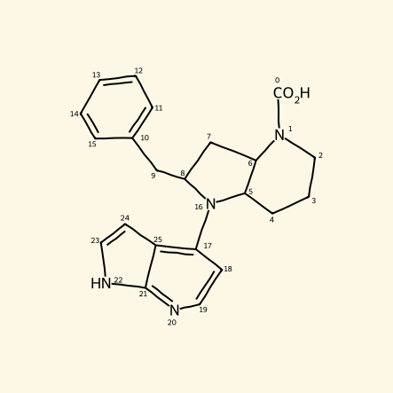 O=C(O)N1CCCC2C1CC(Cc1ccccc1)N2c1ccnc2[nH]ccc12